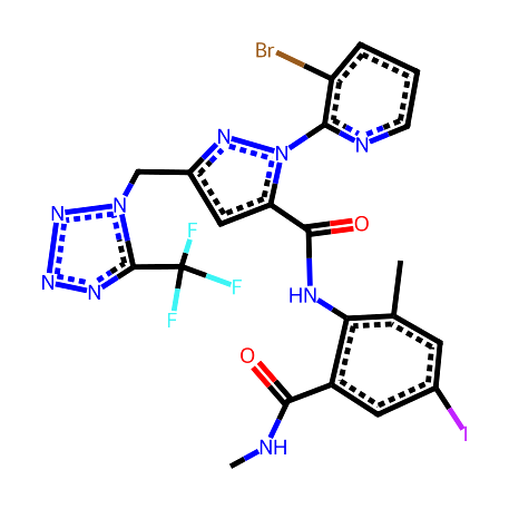 CNC(=O)c1cc(I)cc(C)c1NC(=O)c1cc(Cn2nnnc2C(F)(F)F)nn1-c1ncccc1Br